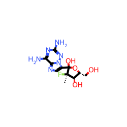 C[C@@]1(F)[C@H](O)[C@@H](CO)OC1(O)c1cnc2c(N)nc(N)nn12